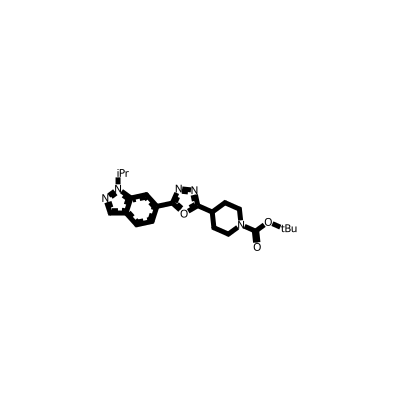 CC(C)n1ncc2ccc(-c3nnc(C4CCN(C(=O)OC(C)(C)C)CC4)o3)cc21